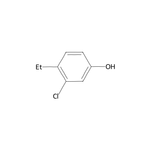 [CH2]Cc1ccc(O)cc1Cl